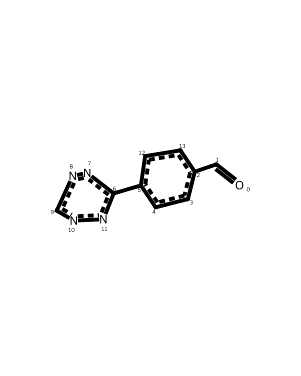 O=Cc1ccc(-c2nncnn2)cc1